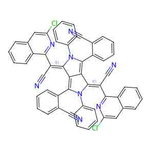 N#C/C(c1nc(Cl)cc2ccccc12)=c1\c2c(-c3ccccc3C#N)n(-c3ccccc3)/c(=C(/C#N)c3nc(Cl)cc4ccccc34)c2c(-c2ccccc2C#N)n1-c1ccccc1